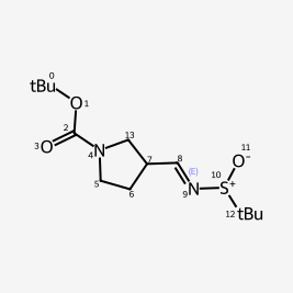 CC(C)(C)OC(=O)N1CCC(/C=N/[S+]([O-])C(C)(C)C)C1